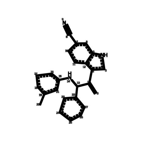 C=C(c1c[nH]c2cc(C#N)ccc12)C(Nc1cccc(C)c1)c1ccccc1